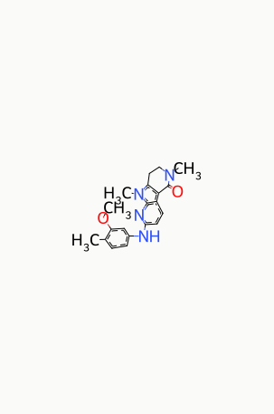 COc1cc(Nc2ccc3c4c(n(C)c3n2)CCN(C)C4=O)ccc1C